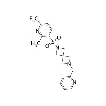 Cc1nc(C(F)(F)F)ccc1S(=O)(=O)N1CC2(CN(Cc3ccccn3)C2)C1